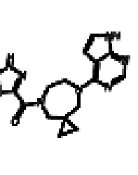 O=C(c1nc[nH]n1)N1CCN(c2ncnc3[nH]ccc23)CC2(CC2)C1